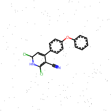 N#CC1=C(Cl)NC(Cl)C=C1c1ccc(Oc2ccccc2)cc1